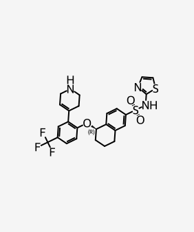 O=S(=O)(Nc1nccs1)c1ccc2c(c1)CCC[C@H]2Oc1ccc(C(F)(F)F)cc1C1=CCNCC1